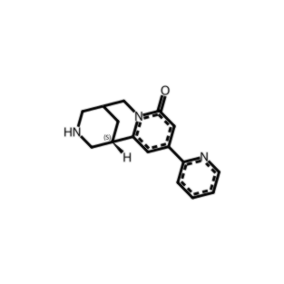 O=c1cc(-c2ccccn2)cc2n1CC1CNC[C@@H]2C1